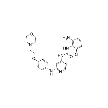 Nc1cccc(Cl)c1NC(=O)Nc1cc(Nc2ccc(OCCN3CCOCC3)cc2)ncn1